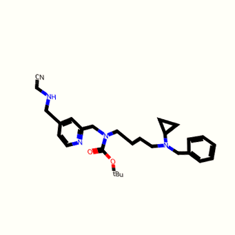 CC(C)(C)OC(=O)N(CCCCN(Cc1ccccc1)C1CC1)Cc1cc(CNCC#N)ccn1